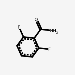 NC(=O)c1c(F)c[c]cc1F